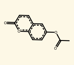 CC(=O)Oc1ccc2oc(=O)ccc2c1